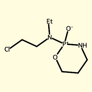 CCN(CCCl)[P+]1([O-])NCCCO1